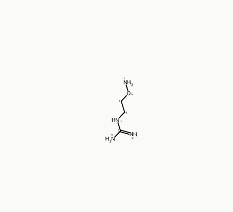 N=C(N)NCCON